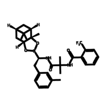 Cc1cccc(C[C@H](NC(=O)C(C)(C)NC(=O)c2ccccc2C(F)(F)F)B2O[C@@H]3C[C@@H]4C[C@@H](C4(C)C)[C@]3(C)O2)c1